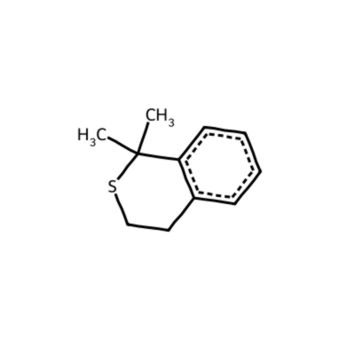 CC1(C)SCCc2ccccc21